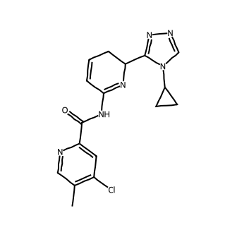 Cc1cnc(C(=O)NC2=NC(c3nncn3C3CC3)CC=C2)cc1Cl